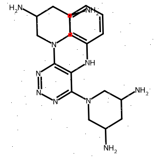 NC1CC(N)CN(c2nnnc(N3CC(N)CC(N)C3)c2Nc2ccccc2)C1